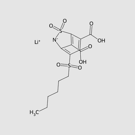 CCCCCCS(=O)(=O)c1cc(C(=O)O)c2c(C(=O)O)c1[N-]S2(=O)=O.[Li+]